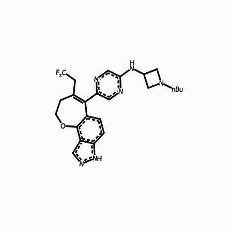 CCCCN1CC(Nc2cnc(C3=C(CC(F)(F)F)CCOc4c3ccc3[nH]ncc43)cn2)C1